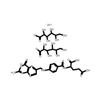 Nc1nc2ncc(CNc3ccc(C(=O)NC(CCC(=O)O)C(=O)O)cc3)nc2c(=O)[nH]1.O=C([O-])C(O)C(O)C(O)C(O)CO.O=C([O-])C(O)C(O)C(O)C(O)CO.[Zn+2]